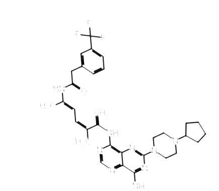 C=C(Nc1ncnc2c(N)nc(N3CCN(C4CCCC4)CC3)nc12)/C(C)=C\C=C(/C)NC(=O)Cc1cccc(C(F)(F)F)c1